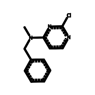 CN(Cc1ccccc1)c1ccnc(Cl)n1